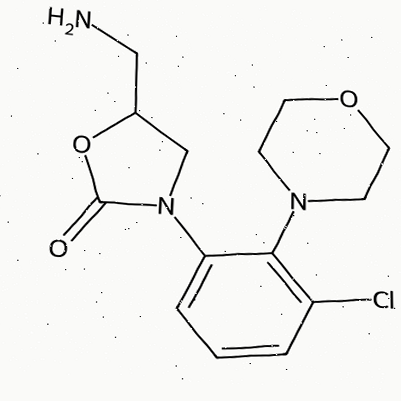 NCC1CN(c2cccc(Cl)c2N2CCOCC2)C(=O)O1